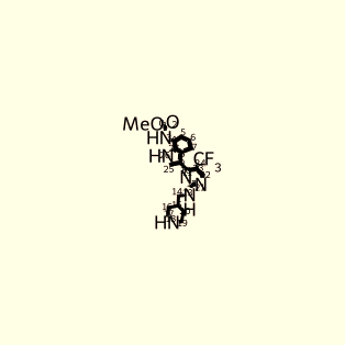 COC(=O)Nc1cccc2c(-c3nc(NCC4CCNCC4)ncc3C(F)(F)F)c[nH]c12